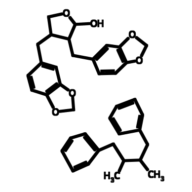 CC(Cc1ccccc1)C(C)Cc1ccccc1.OC1OCC(Cc2ccc3c(c2)OCO3)C1Cc1ccc2c(c1)OCO2